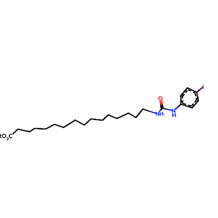 CCOC(=O)CCCCCCCCCCCCCCCNC(=O)Nc1ccc(I)cc1